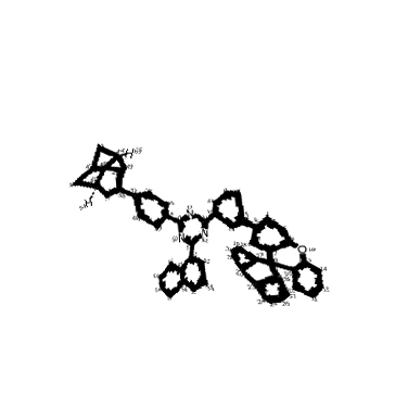 c1cc(-c2ccc3c(c2)C2(c4ccccc4O3)c3ccccc3-c3ccccc32)cc(-c2nc(-c3ccc(C45C[C@H]6CC7C[C@@H](C4)C76C5)cc3)nc(-c3cccc4ccccc34)n2)c1